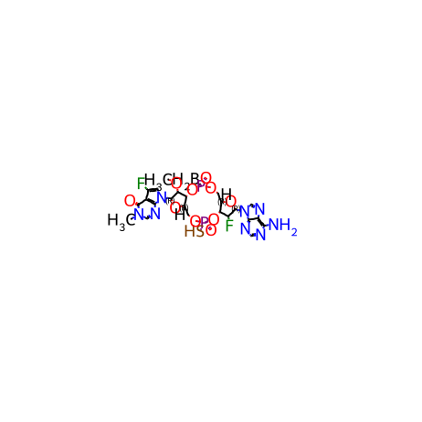 BP1(=O)OC[C@H]2O[C@@H](n3cnc4c(N)ncnc43)C(F)C2OP(=O)(S)OC[C@H]2O[C@@H](n3cc(F)c4c(=O)n(C)cnc43)C(OC)C2O1